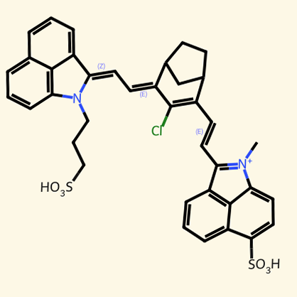 C[N+]1=C(/C=C/C2=C(Cl)C(=C/C=c3/c4cccc5cccc(c54)n3CCCS(=O)(=O)O)/C3CCC2C3)c2cccc3c(S(=O)(=O)O)ccc1c23